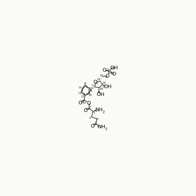 NC(=O)CC[C@H](N)C(=O)OC(=O)c1ccc[n+]([C@@H]2O[C@H](COP(=O)([O-])O)[C@@H](O)[C@H]2O)c1